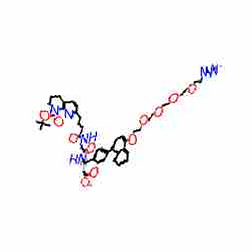 COC(=O)C[C@H](NC(=O)CNC(=O)CCCc1ccc2c(n1)N(C(=O)OC(C)(C)C)CCC2)c1ccc(-c2ccc(OCCOCCOCCOCCOCCN=[N+]=[N-])c3ccccc23)cc1